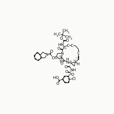 CC(C)(C)OC(=O)N[C@H]1CCCCC/C=C/[C@@H]2C[C@@]2(C(=O)NS(=O)(=O)c2cc(C(=O)O)ccc2Cl)NC(=O)[C@@H]2C[C@@H](OC(=O)N3Cc4ccccc4C3)CN2C1=O